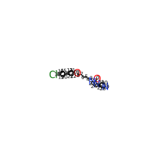 O=C1N(CCC=CCCOc2ccc(-c3ccc(Cl)cc3)cc2)CCN1c1ccncc1